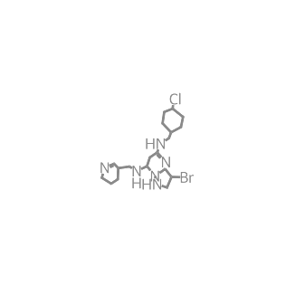 ClC1CCC(CNC2=NC3C(Br)CNN3C(NCC3C=NCCC3)C2)CC1